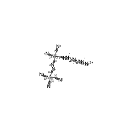 N#[C][Ni-]([C]#N)([C]#N)[C]#N.N#[C][Ni-]([C]#N)([C]#N)[C]#N.[N].[N].[N].[N].[N].[N].[Ni+2]